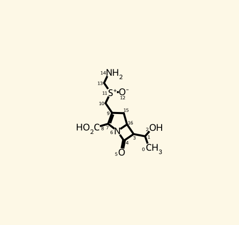 CC(O)C1C(=O)N2C(C(=O)O)=C(C[S+]([O-])CN)CC12